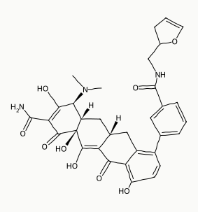 CN(C)[C@@H]1C(O)=C(C(N)=O)C(=O)[C@@]2(O)C(O)=C3C(=O)c4c(O)ccc(-c5cccc(C(=O)NCC6CC=CO6)c5)c4C[C@H]3C[C@@H]12